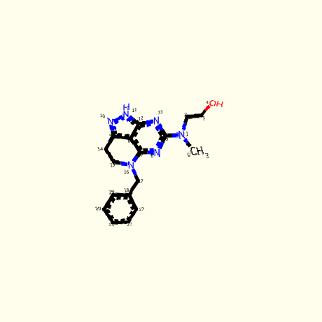 CN(CCO)c1nc2c3c(n[nH]c3n1)CCN2Cc1ccccc1